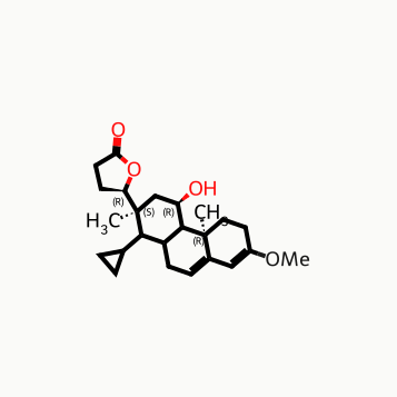 COC1=CC2=CCC3C([C@H](O)C[C@](C)([C@H]4CCC(=O)O4)C3C3CC3)[C@@]2(C)CC1